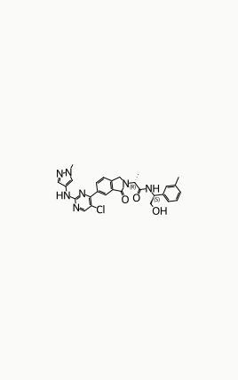 Cc1cccc([C@@H](CO)NC(=O)[C@@H](C)N2Cc3ccc(-c4nc(Nc5cnn(C)c5)ncc4Cl)cc3C2=O)c1